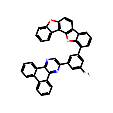 Cc1cc(-c2cnc3c4ccccc4c4ccccc4c3n2)cc(-c2cccc3c2oc2c3ccc3oc4ccccc4c32)c1